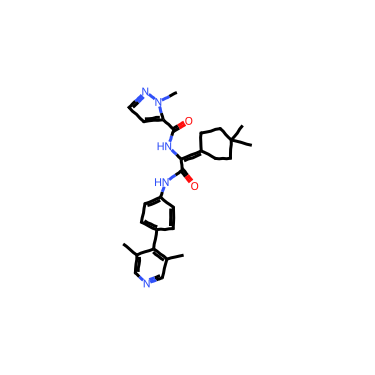 Cc1cncc(C)c1-c1ccc(NC(=O)C(NC(=O)c2ccnn2C)=C2CCC(C)(C)CC2)cc1